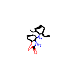 CCc1cccc(CC)c1Nc1cccc2oc(=O)[nH]c12